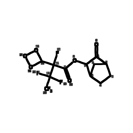 O=C1C2CCC(C2)C1OC(=O)C(F)(C1OOO1)C(F)(F)C(F)(F)F